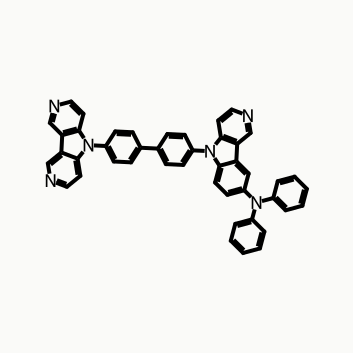 c1ccc(N(c2ccccc2)c2ccc3c(c2)c2cnccc2n3-c2ccc(-c3ccc(-n4c5ccncc5c5cnccc54)cc3)cc2)cc1